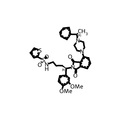 COc1ccc([C@@H](CCCNS(=O)(=O)c2cccs2)N2C(=O)c3cccc(N4CCN([C@H](C)c5ccccc5)CC4)c3C2=O)cc1OC